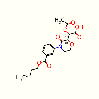 CCCCOC(=O)c1cccc(N2CCO[C@H]([C@@H](OC(C)=O)C(=O)O)C2=O)c1